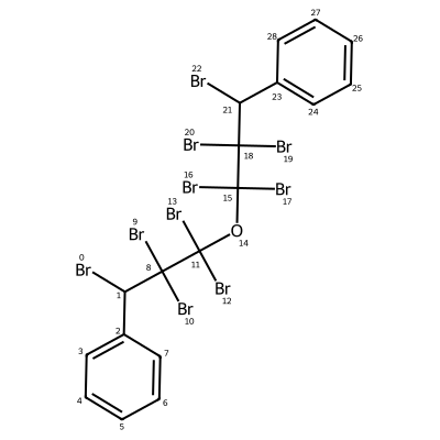 BrC(c1ccccc1)C(Br)(Br)C(Br)(Br)OC(Br)(Br)C(Br)(Br)C(Br)c1ccccc1